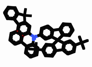 CC(C)(C)c1ccc2c(c1)C1(c3ccccc3-c3ccc(N(c4ccc5c(c4)C(C)(C)c4ccccc4-5)c4ccccc4-c4ccccc4)cc31)c1cc(C(C)(C)C)ccc1-2